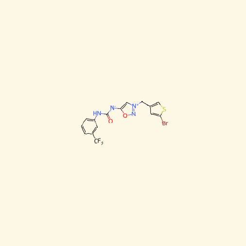 O=C([N-]c1c[n+](Cc2csc(Br)c2)no1)Nc1cccc(C(F)(F)F)c1